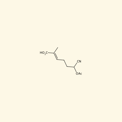 CC(=O)OC(C#N)CCC=C(C)C(=O)O